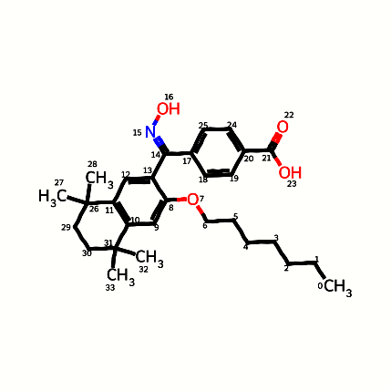 CCCCCCCOc1cc2c(cc1C(=NO)c1ccc(C(=O)O)cc1)C(C)(C)CCC2(C)C